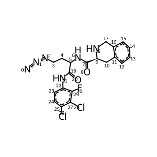 [N-]=[N+]=NCCC(NC(=O)[C@@H]1Cc2ccccc2CN1)C(=O)Nc1ccc(Cl)c(Cl)c1F